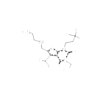 CCn1c(=O)c2c(C(F)F)c(CNCCN)sc2n(CCC(F)(F)F)c1=O